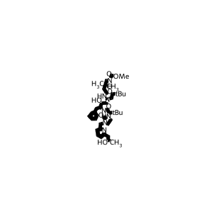 COC(=O)NCC(C)(C)CC(=O)NN(CCC(C)(C)C)CC(O)C(Cc1ccccc1)NC(=O)C(N1CCN(Cc2cccc(CC(C)O)n2)C1=O)C(C)(C)C